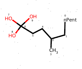 CCCCCCC(C)CCC(O)(O)O